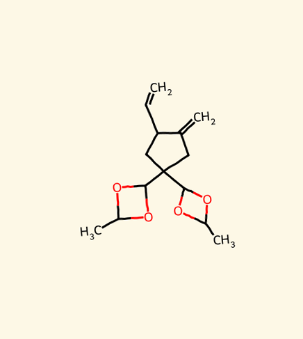 C=CC1CC(C2OC(C)O2)(C2OC(C)O2)CC1=C